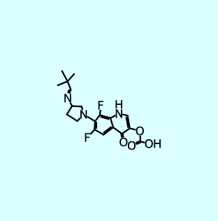 CC(C)(C)C=NC1CCN(c2c(F)cc3c(=O)c(OC(=O)O)c[nH]c3c2F)C1